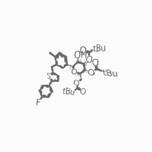 Cc1ccc([C@@H]2O[C@H](COC(=O)C(C)(C)C)[C@@H](OC(=O)C(C)(C)C)[C@H](OC(=O)C(C)(C)C)[C@H]2O)cc1Cc1ccc(-c2ccc(F)cc2)s1